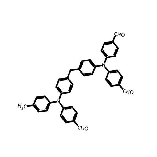 Cc1ccc(N(c2ccc(C=O)cc2)c2ccc(Cc3ccc(N(c4ccc(C=O)cc4)c4ccc(C=O)cc4)cc3)cc2)cc1